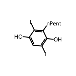 CCCCCc1c(O)c(I)cc(O)c1I